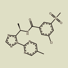 Cc1cnc(-n2ncnc2[C@@H](C)NC(=O)c2cc(Cl)cc(S(C)(=O)=O)c2)nc1